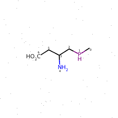 CPCC(N)CC(=O)O